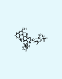 C#Cc1cccc2cc(O)cc(-c3c(Cl)cc4c(N5CC6CCC(C5)N6)nc(OCC5(CN6CCOC7(CC7)C6)CC5)nc4c3F)c12